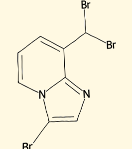 Brc1cnc2c(C(Br)Br)cccn12